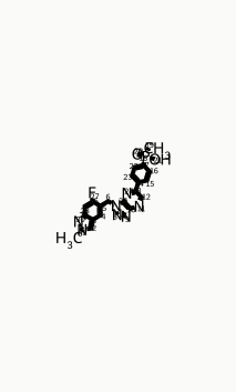 Cn1cc2cc(Cn3nnc4ncc(-c5ccc(P(C)(=O)O)cc5)nc43)c(F)cc2n1